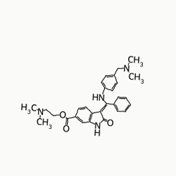 CN(C)CCOC(=O)c1ccc2c(c1)NC(=O)C2=C(Nc1ccc(CN(C)C)cc1)c1ccccc1